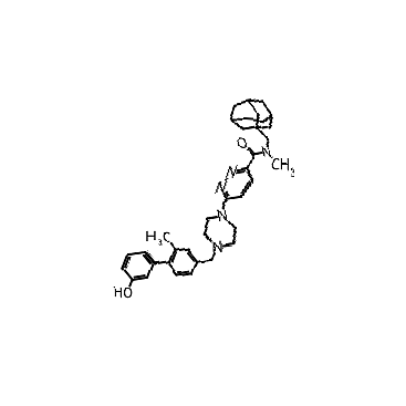 Cc1cc(CN2CCN(c3ccc(C(=O)N(C)CC45CC6CC(CC(C6)C4)C5)nn3)CC2)ccc1-c1cccc(O)c1